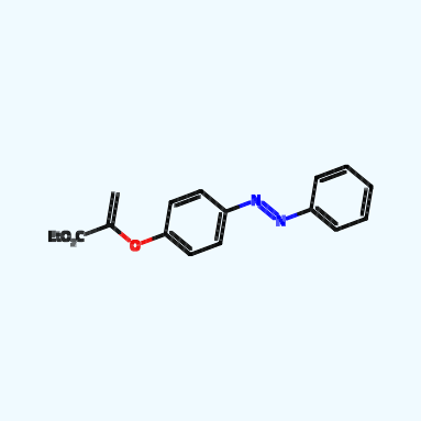 C=C(Oc1ccc(N=Nc2ccccc2)cc1)C(=O)OCC